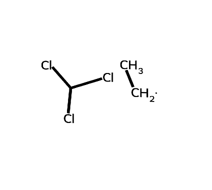 ClC(Cl)Cl.[CH2]C